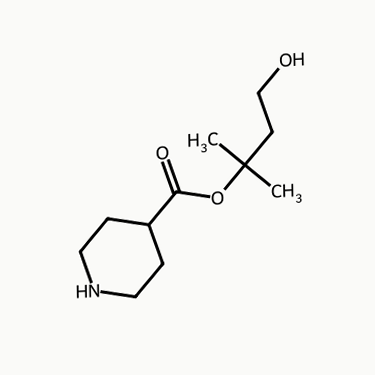 CC(C)(CCO)OC(=O)C1CCNCC1